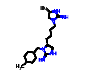 CCC(C)C1CN(CCCC[C@H]2CNC(=N)N2CC2CCC(C)CC2)C(=N)N1